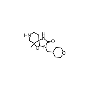 CC1(C)CNCCC12NC(=O)N(CC1CCOCC1)C2=O